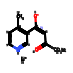 CCOC(=O)C(=O)/C=C(/[O-])c1cnccc1C.[Li+]